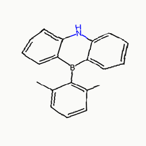 Cc1cccc(C)c1B1c2ccccc2Nc2ccccc21